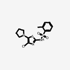 Cc1ccccc1S(=O)(=O)Nc1nc(Cl)c(N2CCCC2)s1